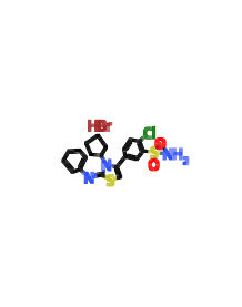 Br.NS(=O)(=O)c1cc(-c2cs/c(=N/c3ccccc3)n2C2CCCC2)ccc1Cl